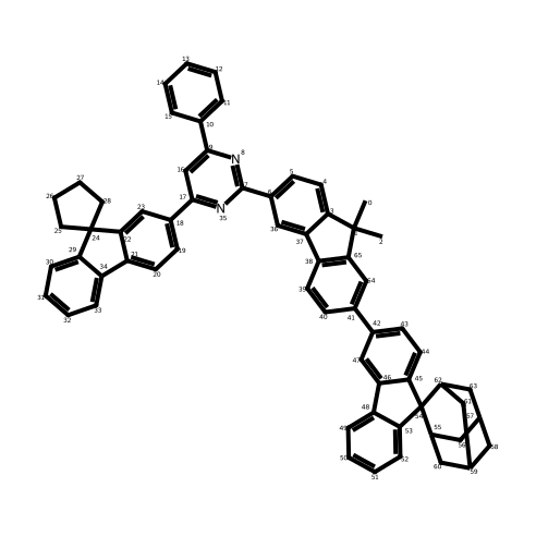 CC1(C)c2ccc(-c3nc(-c4ccccc4)cc(-c4ccc5c(c4)C4(CCCC4)c4ccccc4-5)n3)cc2-c2ccc(-c3ccc4c(c3)-c3ccccc3C43C4CC5CC(C4)CC3C5)cc21